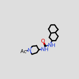 CC(=O)N1CCC(NC(=O)NC2CCC3CCCCC3C2)CC1